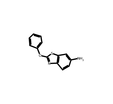 Nc1ccc2nc(Oc3ccccc3)sc2c1